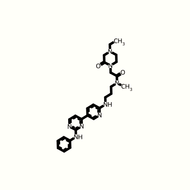 CCN1CCN(CC(=O)N(C)CCCNc2ccc(-c3ccnc(Nc4ccccc4)n3)cn2)C(=O)C1